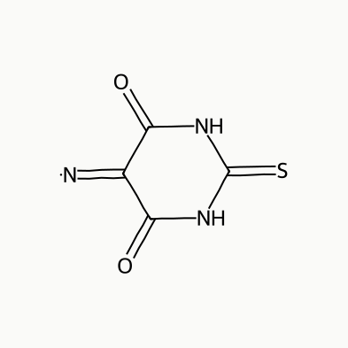 [N]=C1C(=O)NC(=S)NC1=O